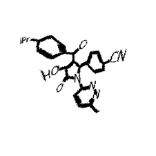 Cc1ccc(N2C(=O)C(O)=C(C(=O)c3ccc(C(C)C)cc3)C2c2ccc(C#N)cc2)nn1